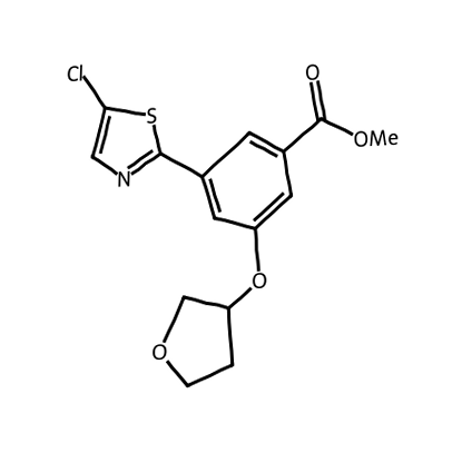 COC(=O)c1cc(OC2CCOC2)cc(-c2ncc(Cl)s2)c1